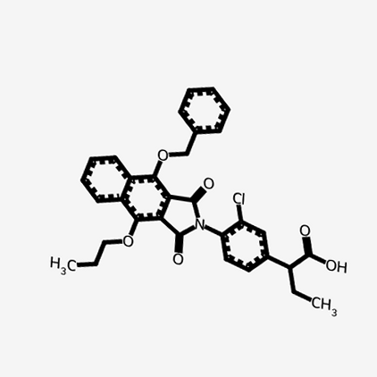 CCCOc1c2c(c(OCc3ccccc3)c3ccccc13)C(=O)N(c1ccc(C(CC)C(=O)O)cc1Cl)C2=O